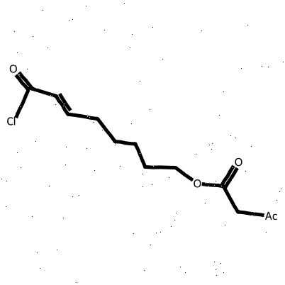 CC(=O)CC(=O)OCCCCC/C=C/C(=O)Cl